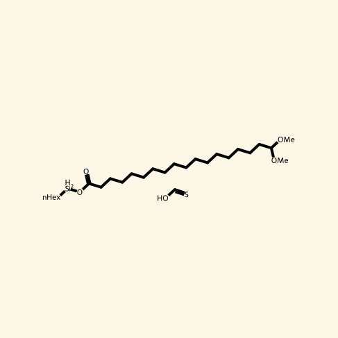 CCCCCC[SiH2]OC(=O)CCCCCCCCCCCCCCCCC(OC)OC.OC=S